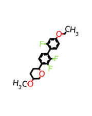 CCOc1ccc(-c2ccc(C3CCC(OC)CO3)c(F)c2F)c(F)c1